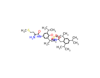 CSCC[C@H](N)C(=O)Nc1cc(C(C)C)c(OS(=O)(=O)NC(=O)Cc2c(C(C)C)cc(C(C)C)cc2C(C)C)c(C(C)C)c1